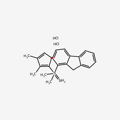 CC1=CC[C]([Ti]([CH3])([CH3])(=[SiH2])[c]2cccc3c2Cc2ccccc2-3)=C1C.Cl.Cl